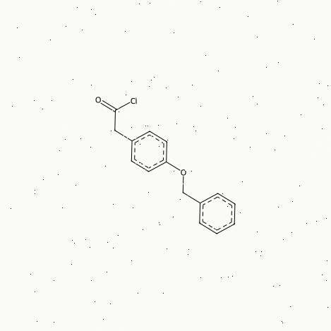 O=C(Cl)Cc1ccc(OCc2ccccc2)cc1